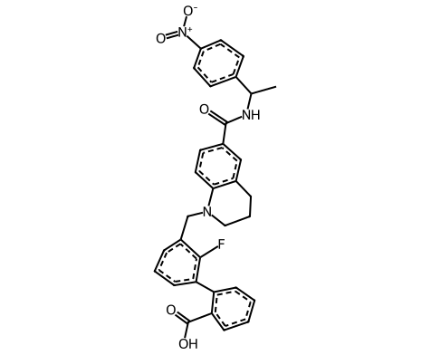 CC(NC(=O)c1ccc2c(c1)CCCN2Cc1cccc(-c2ccccc2C(=O)O)c1F)c1ccc([N+](=O)[O-])cc1